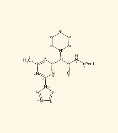 CCCCCNC(=O)C(c1cc(C)nc(-n2ccnc2)n1)N1CCCCC1